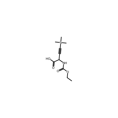 CCOC(=O)NC(C#C[Si](C)(C)C)C(=O)O